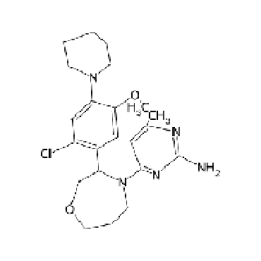 COc1cc(C2COCCCN2c2cc(C)nc(N)n2)c(Cl)cc1N1CCCCC1